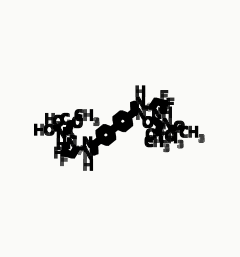 COC(=O)N[C@H](C(=O)N1CC(F)(F)C[C@H]1c1nc(-c2ccc(-c3ccc(-c4c[nH]c([C@@H]5CC(F)(F)CN5C[C@H](NC(=O)O)[C@@H](C)OC)n4)cc3)cc2)c[nH]1)[C@@H](C)OC